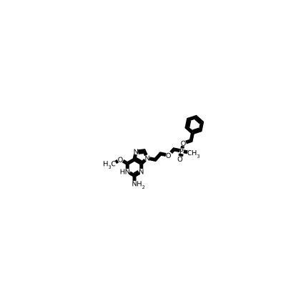 COC1NC(N)=Nc2c1ncn2CCOCP(C)(=O)OCc1ccccc1